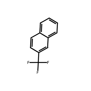 FC(F)(F)c1[c]c2ccccc2cc1